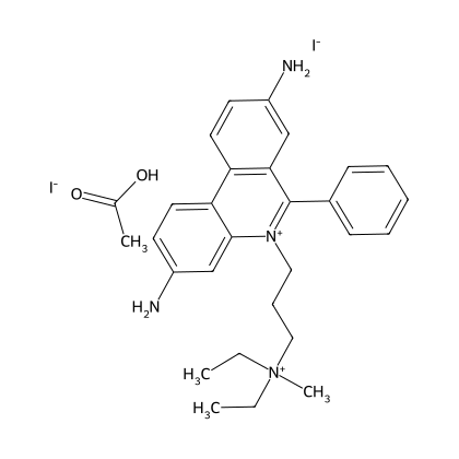 CC(=O)O.CC[N+](C)(CC)CCC[n+]1c(-c2ccccc2)c2cc(N)ccc2c2ccc(N)cc21.[I-].[I-]